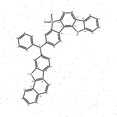 C[Si]1(C)c2cc(N(c3ccccc3)c3ccc4c(c3)sc3c5ccccc5ccc43)ccc2-c2c1ccc1c2sc2ccccc21